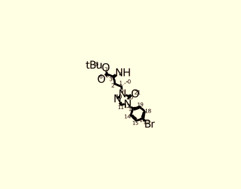 C[C@@H](CC(=N)C(=O)OC(C)(C)C)n1ncn(-c2ccc(Br)cc2)c1=O